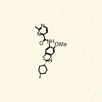 COc1cc2nc([C@H]3CC[C@H](C)CC3)sc2cc1NC(=O)c1ccnc(C)n1